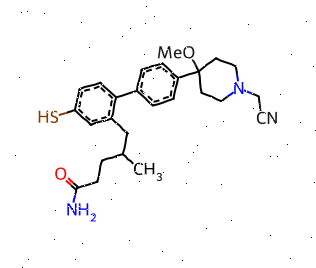 COC1(c2ccc(-c3ccc(S)cc3CC(C)CCC(N)=O)cc2)CCN(CC#N)CC1